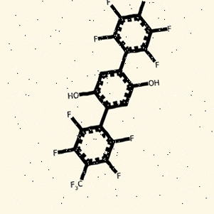 Oc1cc(-c2c(F)c(F)c(C(F)(F)F)c(F)c2F)c(O)cc1-c1c(F)c(F)c(C(F)(F)F)c(F)c1F